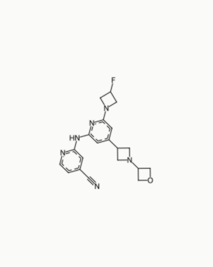 N#Cc1ccnc(Nc2cc(C3CN(C4COC4)C3)cc(N3CC(F)C3)n2)c1